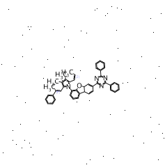 C/C=C\c1c(C)c(C)c(/C=C(\C)c2ccccc2)n1-c1cccc2c1OC1C=C(c3nc(-c4ccccc4)nc(-c4ccccc4)n3)C=CC21